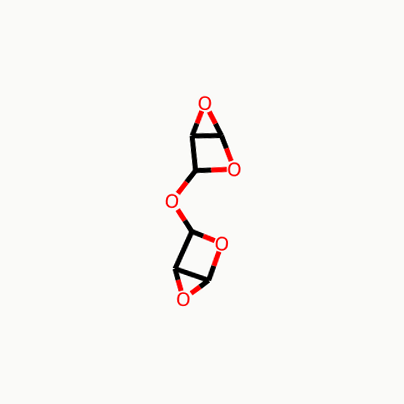 O(C1OC2OC12)C1OC2OC12